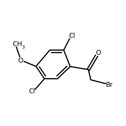 COc1cc(Cl)c(C(=O)CBr)cc1Cl